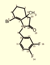 CC12CCCC(Br)=C1N(Cc1ccc(F)c(F)c1)C(=O)C2